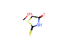 CO.O=C1CSC(=S)N1